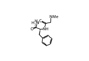 C=C(CNC)N[C@@H](Cc1ccccc1)C(N)=O